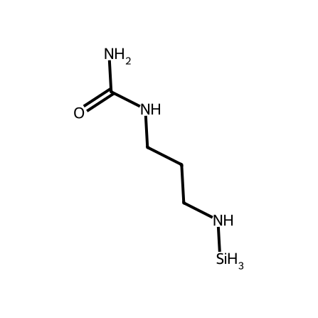 NC(=O)NCCCN[SiH3]